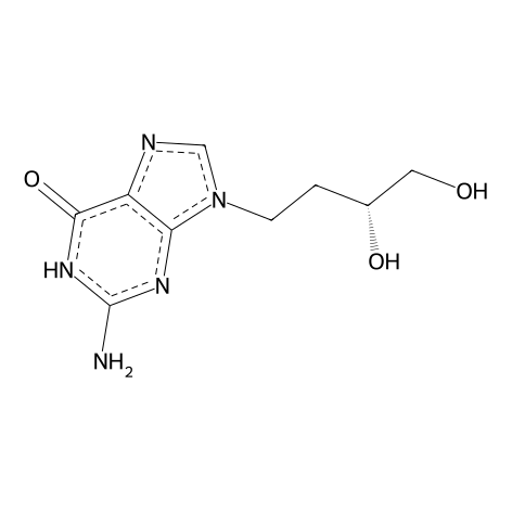 Nc1nc2c(ncn2CC[C@@H](O)CO)c(=O)[nH]1